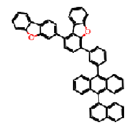 c1cc(-c2c3ccccc3c(-c3cccc4ccccc34)c3ccccc23)cc(-c2ccc(-c3ccc4c(c3)oc3ccccc34)c3c2oc2ccccc23)c1